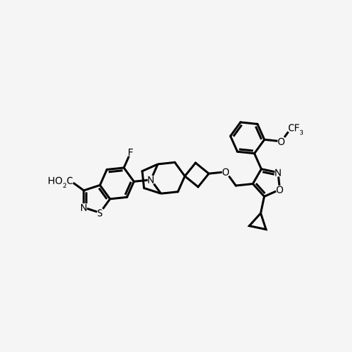 O=C(O)c1nsc2cc(N3C4CCC3CC3(CC(OCc5c(-c6ccccc6OC(F)(F)F)noc5C5CC5)C3)C4)c(F)cc12